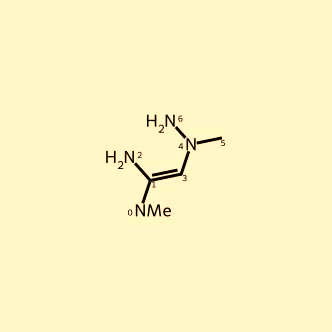 CN/C(N)=C/N(C)N